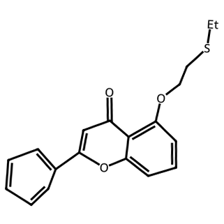 CCSCCOc1cccc2oc(-c3ccccc3)cc(=O)c12